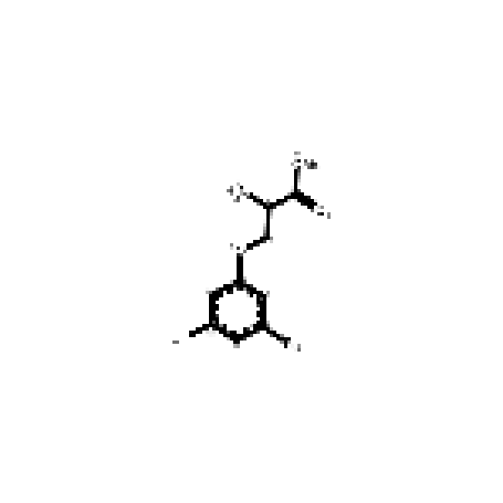 COC(=O)C(N)COc1cc(F)cc(F)c1